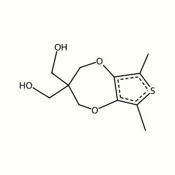 Cc1sc(C)c2c1OCC(CO)(CO)CO2